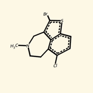 CN1CCc2c(Cl)ccc3sc(Br)c(c23)C1